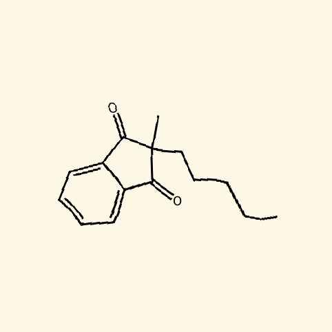 CCCCCC1(C)C(=O)c2ccccc2C1=O